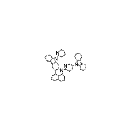 c1ccc(-n2c3ccccc3c3cc4c(cc32)N(c2ccc(-n3c5ccccc5c5ccccc53)cn2)c2cccc3cccc-4c23)nc1